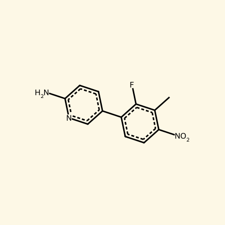 Cc1c([N+](=O)[O-])ccc(-c2ccc(N)nc2)c1F